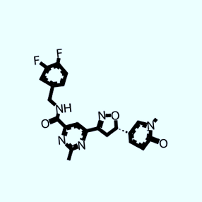 Cc1nc(C(=O)NCc2ccc(F)c(F)c2)cc(C2=NO[C@H](c3ccc(=O)n(C)c3)C2)n1